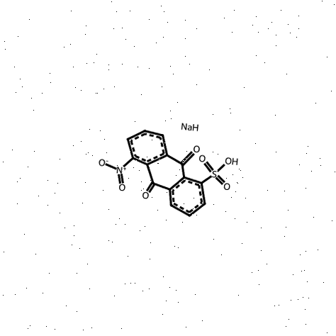 O=C1c2cccc(S(=O)(=O)O)c2C(=O)c2cccc([N+](=O)[O-])c21.[NaH]